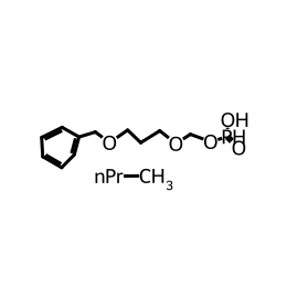 CCCC.O=[PH](O)OCOCCCOCc1ccccc1